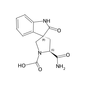 NC(=O)[C@@H]1C[C@@]2(CN1C(=O)O)C(=O)Nc1ccccc12